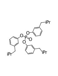 CC(C)Cc1cccc(OP(=O)(Oc2cccc(CC(C)C)c2)Oc2cccc(CC(C)C)c2)c1